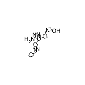 Nc1ncnn2c(-c3cccc(CN4CCC(O)C4)c3)cc(-c3ccc4cn(Cc5ccccc5)nc4c3)c12